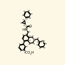 O=C(O)c1cccc(-c2ccc(CNC(=O)[C@@H]3C[C@@H]3c3ccccc3)c3c2CCN(Cc2ccccn2)C3)c1